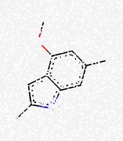 COc1cc(C)cc2[nH]c(C)cc12